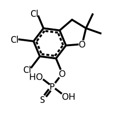 CC1(C)Cc2c(Cl)c(Cl)c(Cl)c(OP(O)(O)=S)c2O1